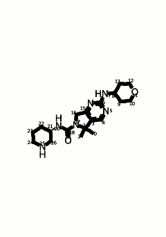 CC1(C)c2cnc(NC3CCOCC3)nc2CN1C(=O)N[C@H]1CCCNC1